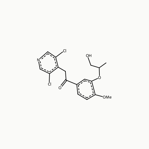 COc1ccc(C(=O)Cc2c(Cl)cncc2Cl)cc1OC(C)CO